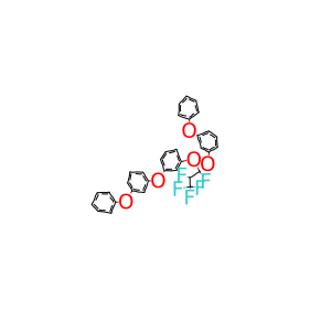 FC(C(F)(F)F)C(F)(Oc1cccc(Oc2ccccc2)c1)Oc1cccc(Oc2cccc(Oc3ccccc3)c2)c1